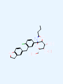 CCCC1=NC2(c3ccc(Cl)c(Cc4ccc5c(c4)CCO5)c3)O[C@H](CO)[C@@H](O)[C@H](O)C2O1